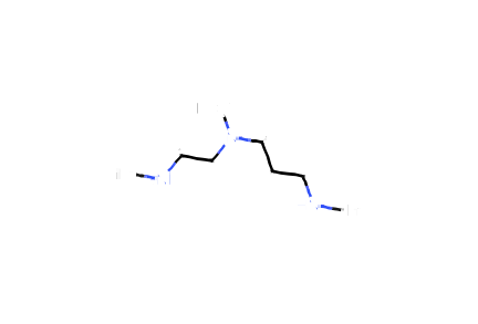 CC(C)NCCCN(C)CCNC(C)C